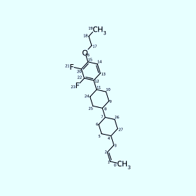 C/C=C\CC1CCC(C2CCC(c3ccc(OCCC)c(F)c3F)CC2)CC1